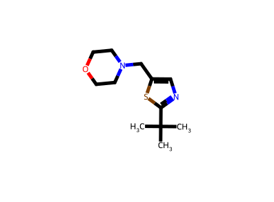 CC(C)(C)c1ncc(CN2CCOCC2)s1